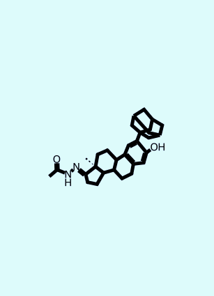 CC(=O)N/N=C1\CCC2C3CCc4cc(O)c(C56CC7CC(CC(C7)C5)C6)cc4C3CC[C@]12C